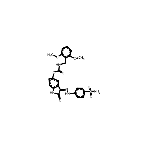 COc1cccc(OC)c1CNC(=O)Oc1ccc2c(c1)C(=NNc1ccc(S(N)(=O)=O)cc1)C(=O)N2